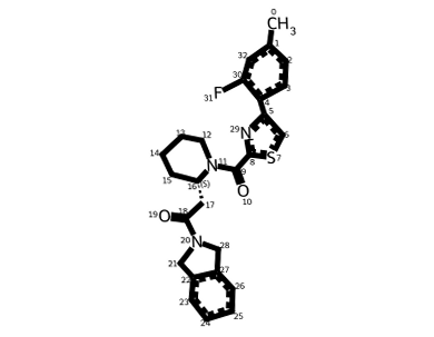 Cc1ccc(-c2csc(C(=O)N3CCCC[C@H]3CC(=O)N3Cc4ccccc4C3)n2)c(F)c1